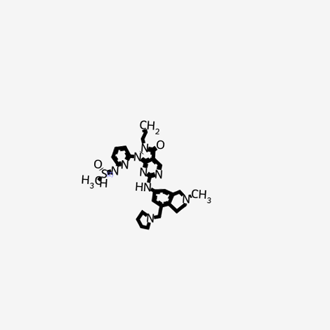 C=CCn1c(=O)c2cnc(Nc3cc4c(c(CN5CCCC5)c3)CCN(C)C4)nc2n1-c1cccc(/N=[SH](/C)=O)n1